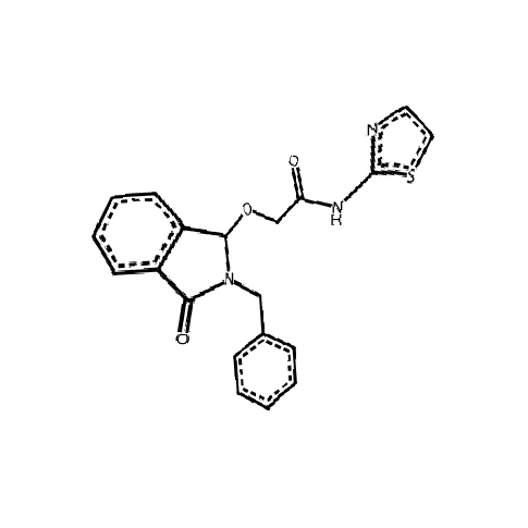 O=C(COC1c2ccccc2C(=O)N1Cc1ccccc1)Nc1nccs1